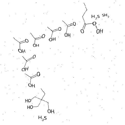 CC(=O)O.CC(=O)O.CC(=O)O.CC(=O)O.CC(=O)O.CC(=O)O.CCC(CO)(CO)CO.CCCC(=O)OO.S.S.S